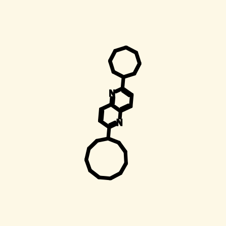 c1cc2nc(C3CCCCCCC3)ccc2nc1C1CCCCCCCCCC1